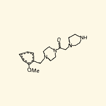 COc1ccccc1CN1CCN(C(=O)CN2CCNCC2)CC1